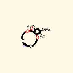 COc1cc(OC(C)=O)c2c(c1C(C)=O)OCCCC/C=C\CCCCOC2=O